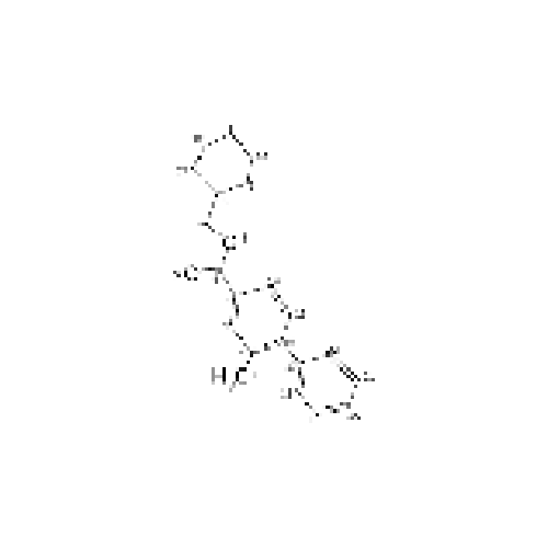 Cc1cc(C(=O)OCC2CCCCC2)ccc1-c1ccccc1